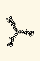 CCC1(OC(=O)COc2c(I)cc(COc3ccc([S+](c4ccc(OCc5cc(I)c(OCC(=O)OC6(CC)CCCC6)c(I)c5)cc4)c4ccc(OCc5cc(I)c(OCC(=O)OC6(CC)CCCC6)c(I)c5)cc4)cc3)cc2I)CCCC1